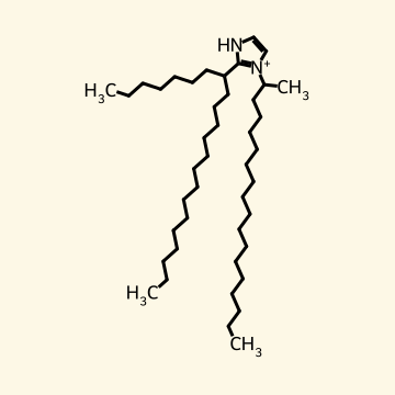 CCCCCCCCCCCCCCCCC(C)[n+]1cc[nH]c1C(CCCCCCC)CCCCCCCCCCCCCC